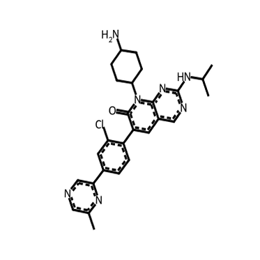 Cc1cncc(-c2ccc(-c3cc4cnc(NC(C)C)nc4n(C4CCC(N)CC4)c3=O)c(Cl)c2)n1